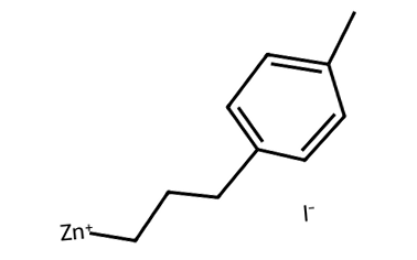 Cc1ccc(CC[CH2][Zn+])cc1.[I-]